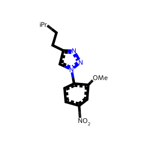 COc1cc([N+](=O)[O-])ccc1-n1cc(CCC(C)C)nn1